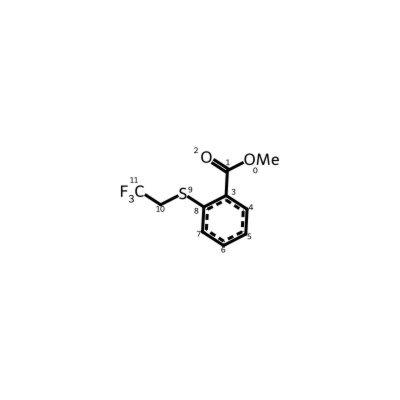 COC(=O)c1ccccc1SCC(F)(F)F